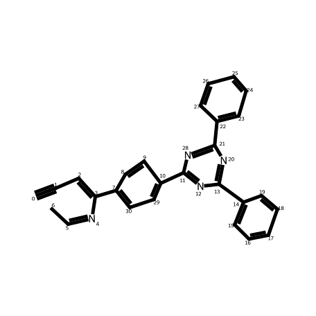 C#C/C=C(\N=C/C)c1ccc(-c2nc(-c3ccccc3)nc(-c3ccccc3)n2)cc1